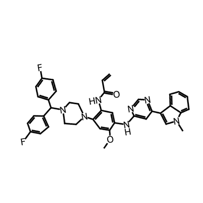 C=CC(=O)Nc1cc(Nc2cc(-c3cn(C)c4ccccc34)ncn2)c(OC)cc1N1CCN(C(c2ccc(F)cc2)c2ccc(F)cc2)CC1